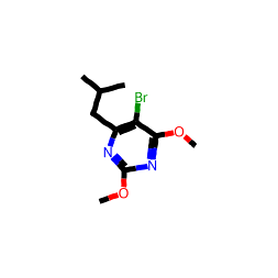 COc1nc(CC(C)C)c(Br)c(OC)n1